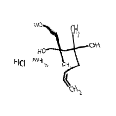 C=CCC(C)(O)C(C)(O)CO.Cl.N